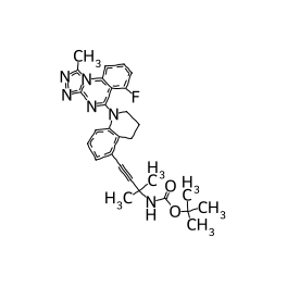 Cc1nnc2nc(N3CCCc4c(C#CC(C)(C)NC(=O)OC(C)(C)C)cccc43)c3c(F)cccc3n12